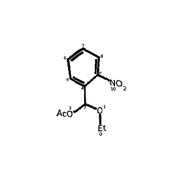 CCOC(OC(C)=O)c1ccccc1[N+](=O)[O-]